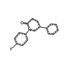 O=c1ccc(-c2ccccc2)cn1-c1ccc(F)cc1